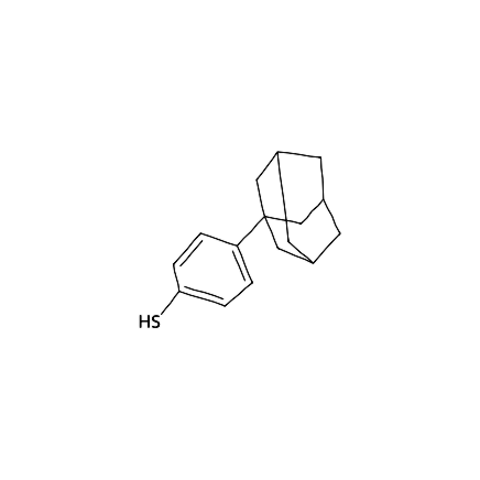 Sc1ccc(C23CC4CC(CC(C4)C2)C3)cc1